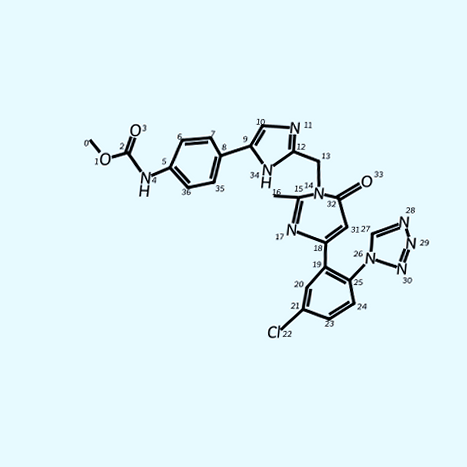 COC(=O)Nc1ccc(-c2cnc(Cn3c(C)nc(-c4cc(Cl)ccc4-n4cnnn4)cc3=O)[nH]2)cc1